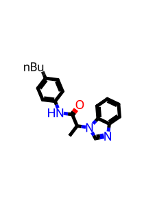 CCCCc1ccc(NC(=O)C(C)n2cnc3ccccc32)cc1